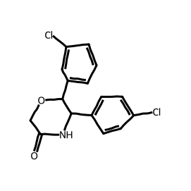 O=C1COC(c2cccc(Cl)c2)C(c2ccc(Cl)cc2)N1